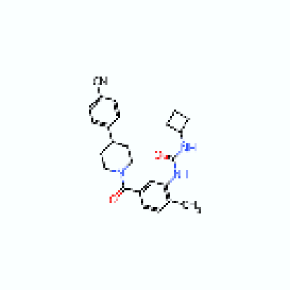 Cc1ccc(C(=O)N2CCC(c3ccc(C#N)cc3)CC2)cc1NC(=O)NC1CCC1